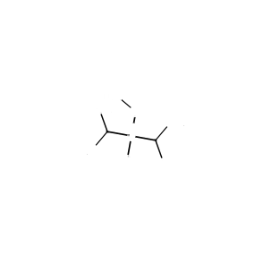 CO[PH](Cl)(C(C)C)C(C)C